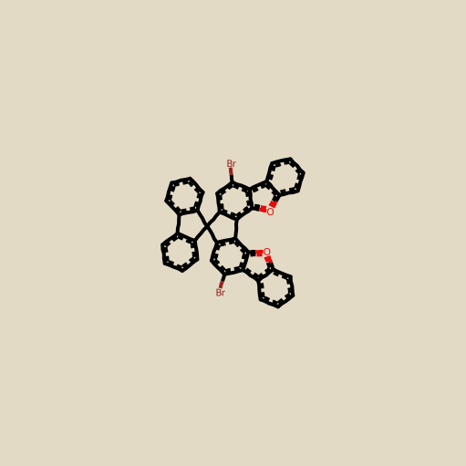 Brc1cc2c(c3oc4ccccc4c13)-c1c(cc(Br)c3c1oc1ccccc13)C21c2ccccc2-c2ccccc21